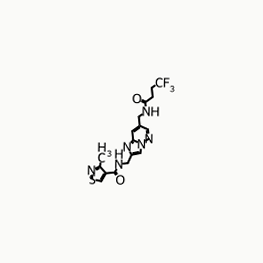 Cc1nscc1C(=O)NCc1cn2ncc(CNC(=O)CCC(F)(F)F)cc2n1